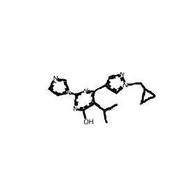 CC(C)c1c(O)nc(-n2ccnc2)nc1-c1cnn(CC2CC2)c1